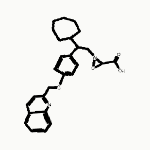 O=C(O)C1ON1CC(c1ccc(OCc2ccc3ccccc3n2)cc1)C1CCCCCC1